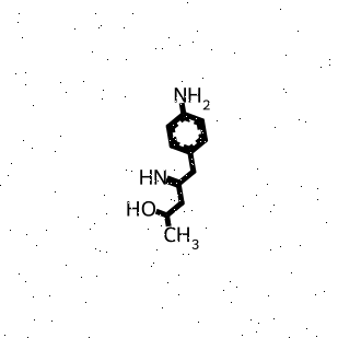 CC(O)CC(=N)Cc1ccc(N)cc1